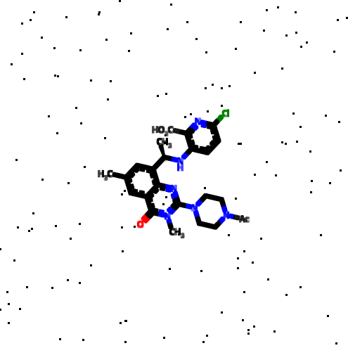 CC(=O)N1CCN(c2nc3c([C@@H](C)Nc4ccc(Cl)nc4C(=O)O)cc(C)cc3c(=O)n2C)CC1